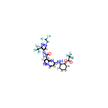 O=C(Nc1cn(CC(F)F)nc1C(F)(F)F)c1cnn2ccc(N[C@@H]3CCCC[C@@H]3OC(=O)C(F)(F)F)nc12